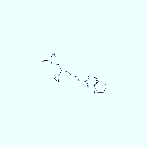 CC(=O)[C@@H](N)CCN(CCCCc1ccc2c(n1)NCCC2)C1CC1